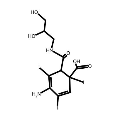 NC1=C(I)C(C(=O)NCC(O)CO)C(I)(C(=O)O)C=C1I